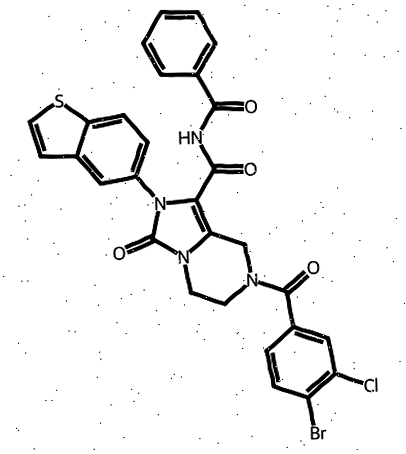 O=C(NC(=O)c1c2n(c(=O)n1-c1ccc3sccc3c1)CCN(C(=O)c1ccc(Br)c(Cl)c1)C2)c1ccccc1